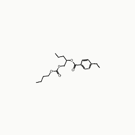 CCCCOC(=O)OCC(CCC)OC(=O)c1ccc(CC)cc1